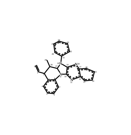 C=CC1c2ccccc2N2c3nc4ccccc4nc3N(c3ccccc3)C2C1C